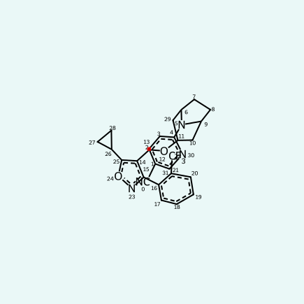 N#Cc1ccc(N2C3CCC2CC(OCc2c(-c4ccccc4C(F)(F)F)noc2C2CC2)C3)nc1